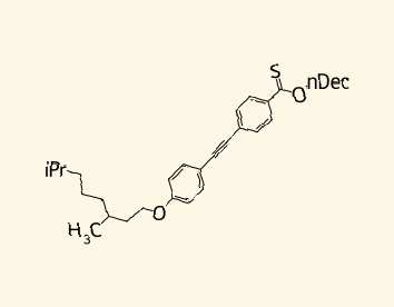 CCCCCCCCCCOC(=S)c1ccc(C#Cc2ccc(OCCC(C)CCCC(C)C)cc2)cc1